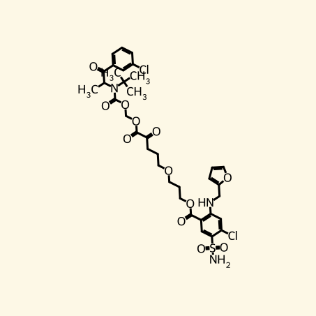 CC(C(=O)c1cccc(Cl)c1)N(C(=O)OCOC(=O)C(=O)CCCOCCCOC(=O)c1cc(S(N)(=O)=O)c(Cl)cc1NCc1ccco1)C(C)(C)C